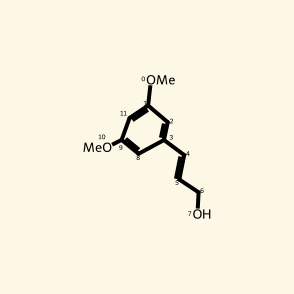 COc1cc(C=CCO)cc(OC)c1